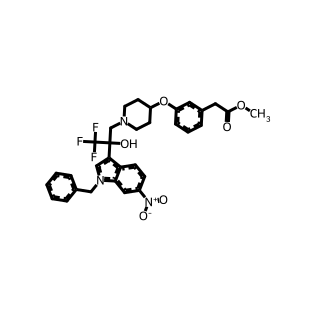 COC(=O)Cc1cccc(OC2CCN(CC(O)(c3cn(Cc4ccccc4)c4cc([N+](=O)[O-])ccc34)C(F)(F)F)CC2)c1